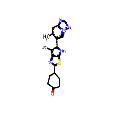 Cc1cc2ncnn2cc1-c1[nH]c2sc(C3CCC(=O)CC3)nc2c1C(C)C